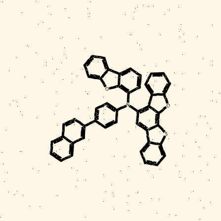 c1ccc2cc(-c3ccc(N(c4cccc5c4oc4ccccc45)c4cc5c6ccccc6sc5c5oc6ccccc6c45)cc3)ccc2c1